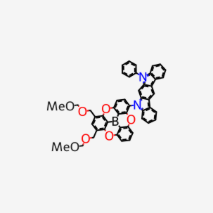 COCOCc1cc(COCOC)c2c3c1Oc1cccc4c1B3c1c(ccc(-n3c5ccccc5c5cc6c7ccccc7n(-c7ccccc7)c6cc53)c1O4)O2